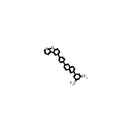 FC(F)(F)c1cc(-c2ccc3cc(-c4ccc(-c5ccc6oc7ncccc7c6c5)cc4)ccc3c2)cc(C(F)(F)F)c1